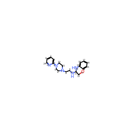 c1ccc(N2CCN(CCNC3COc4ccccc4N3)CC2)nc1